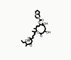 CCC(O)C(C)C1OC1CC(C)(O)/C=C/C=C(\C)C1OC(=O)CC(O)CCC(C)(O)C(OC(=O)N2CCN3CCCC3C2)/C=C/C1C